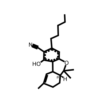 CCCCCc1cc2c(c(O)c1C#N)C1C=C(C)CC[C@H]1C(C)(C)O2